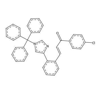 O=C(/C=C/c1ccccc1-c1cn(C(c2ccccc2)(c2ccccc2)c2ccccc2)cn1)c1ccc(Cl)cc1